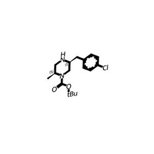 C[C@H]1CN[C@@H](Cc2ccc(Cl)cc2)CN1C(=O)OC(C)(C)C